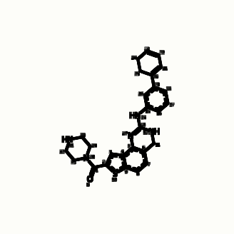 O=C(c1cc2c3c(ccc2s1)CNC(Nc1cccc(C2=CC=CCC2)c1)=N3)N1CCNCC1